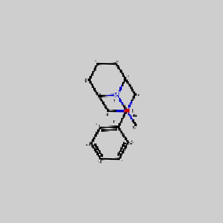 CN1CC2C[CH]CC(C1)N2Cc1ccccc1